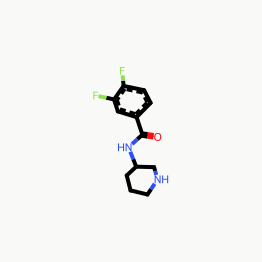 O=C(NC1CCCNC1)c1ccc(F)c(F)c1